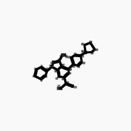 Cc1nn(-c2ccccc2)c2nc(C(=O)O)cc(-c3ccc(N4CCCC4)cc3)c12